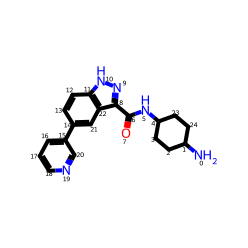 NC1CCC(NC(=O)c2n[nH]c3ccc(-c4cccnc4)cc23)CC1